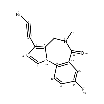 CN1Cc2c(C#CBr)ncn2-c2ccc(F)cc2C1=O